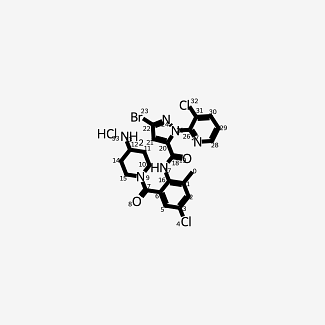 Cc1cc(Cl)cc(C(=O)N2CCC(N)CC2)c1NC(=O)c1cc(Br)nn1-c1ncccc1Cl.Cl